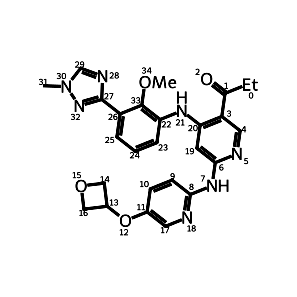 CCC(=O)c1cnc(Nc2ccc(OC3COC3)cn2)cc1Nc1cccc(-c2ncn(C)n2)c1OC